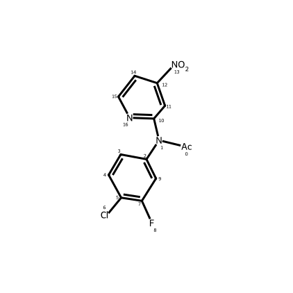 CC(=O)N(c1ccc(Cl)c(F)c1)c1cc([N+](=O)[O-])ccn1